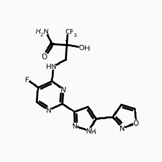 NC(=O)C(O)(CNc1nc(-c2cc(-c3ccon3)[nH]n2)ncc1F)C(F)(F)F